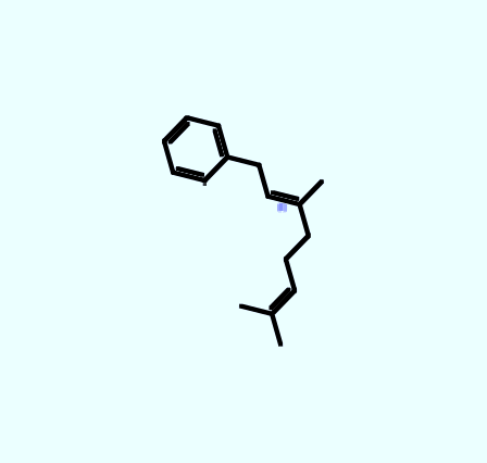 CC(C)=CCC/C(C)=C/Cc1[c]cccc1